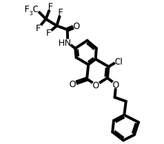 O=C(Nc1ccc2c(Cl)c(OCCc3ccccc3)oc(=O)c2c1)C(F)(F)C(F)(F)C(F)(F)F